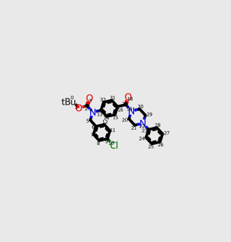 CC(C)(C)OC(=O)N(Cc1ccc(Cl)cc1)c1ccc(C(=O)N2CCN(c3ccccc3)CC2)cc1